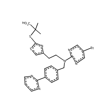 CCc1cnc(N(CCc2csc(SC(C)(C)C(=O)O)n2)Cc2ccc(-c3ncccn3)cc2)nc1